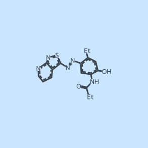 CCC(=O)Nc1cc(/N=N/c2snc3ncccc23)c(CC)cc1O